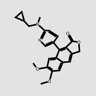 COc1cc2cc3c(c(-c4ccc(N(C)CC5CC5)nc4)c2cc1OC)C(=O)OC3